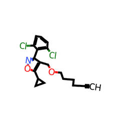 C#CCCCCOCc1c(-c2c(Cl)cccc2Cl)noc1C1CC1